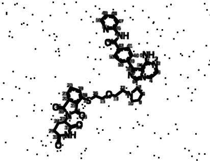 Nc1nccn2c([C@@H]3CCCN3CCOCCSc3cccc4c3C(=O)N(C3CCC(=O)NC3=O)C4=O)nc(-c3ccc(C(=O)Nc4ccccn4)cc3)c12